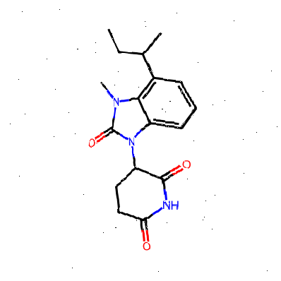 CCC(C)c1cccc2c1n(C)c(=O)n2C1CCC(=O)NC1=O